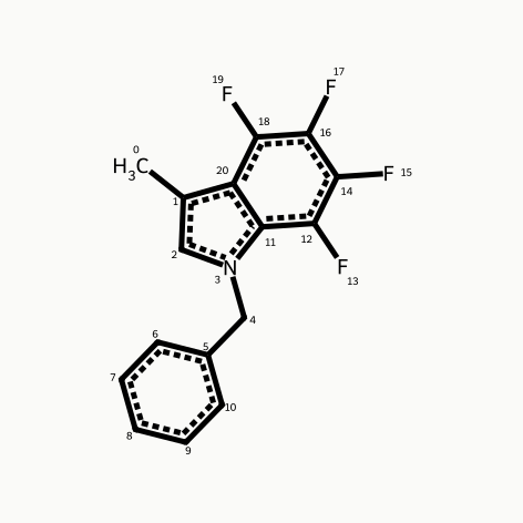 Cc1cn(Cc2ccccc2)c2c(F)c(F)c(F)c(F)c12